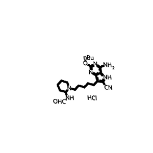 CCCCOc1nc(N)c2[nH]c(C#N)c(CCCCCN3CCCCC3NC=O)c2n1.Cl